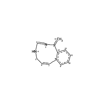 C=C1/N=C\NC/C=C\c2ccccc21